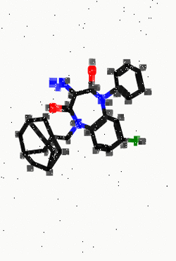 NC1C(=O)N(CC23CC4CC(CC(C4)C2)C3)c2ccc(F)cc2N(c2ccccc2)C1=O